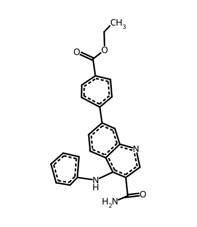 CCOC(=O)c1ccc(-c2ccc3c(Nc4ccccc4)c(C(N)=O)cnc3c2)cc1